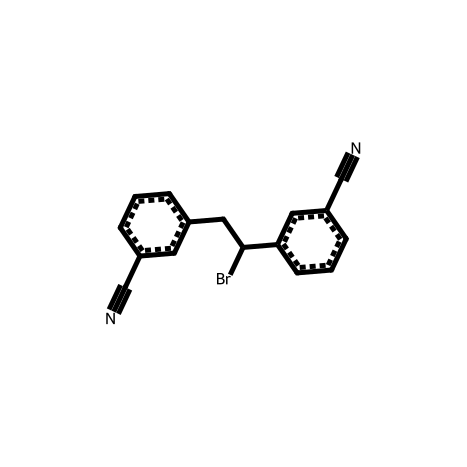 N#Cc1cccc(CC(Br)c2cccc(C#N)c2)c1